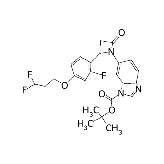 CC(C)(C)OC(=O)n1cnc2ccc(N3C(=O)CC3c3ccc(OCCC(F)F)cc3F)cc21